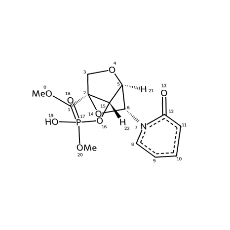 COC[C@@]12CO[C@@H]([C@H](n3ccccc3=O)O1)[C@@H]2OP(=O)(O)OC